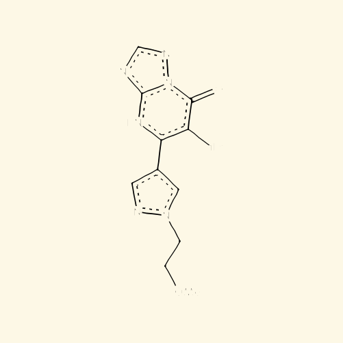 COCCn1cc(-c2[nH]c3ncnn3c(=O)c2C(C)C)cn1